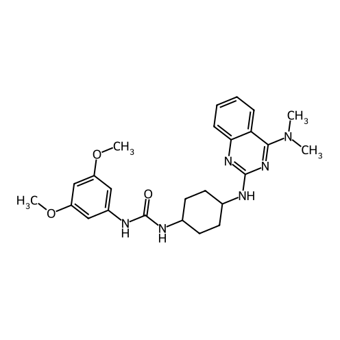 COc1cc(NC(=O)NC2CCC(Nc3nc(N(C)C)c4ccccc4n3)CC2)cc(OC)c1